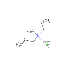 C=CC[N+](CC=C)(CCCCCCCC)CCCCCCCC.[Br-]